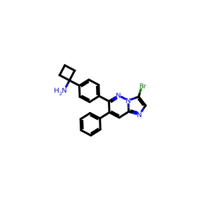 NC1(c2ccc(-c3nn4c(Br)cnc4cc3-c3ccccc3)cc2)CCC1